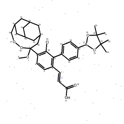 COC1(c2ccc(/C=C/C(=O)O)c(-c3ccc(B4OC(C)(C)C(C)(C)O4)cc3)c2Cl)CC2CC3CC(COO1)CC(C3)C2